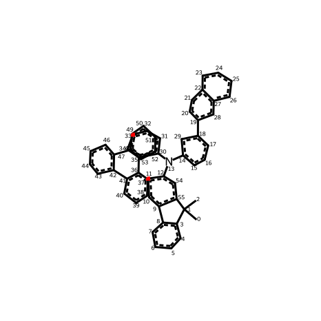 CC1(C)c2ccccc2-c2ccc(N(c3cccc(-c4ccc5ccccc5c4)c3)c3ccccc3-c3ccccc3-c3ccccc3-c3ccccc3)cc21